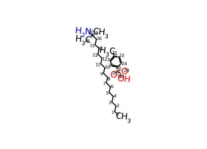 CCCCCCCCCCCCCCCCCC(C)(C)N.Cc1ccc(S(=O)(=O)O)cc1